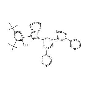 CC(C)(C)c1cc(-c2nn(-c3cc(-c4ccccc4)cc(-c4cc(-c5ccccc5)ccn4)c3)c3ccccc23)c(O)c(C(C)(C)C)c1